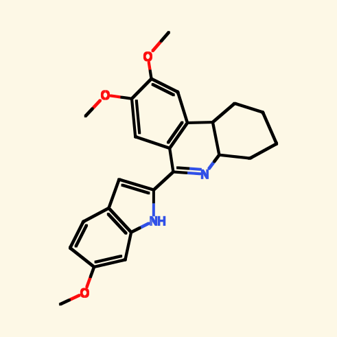 COc1ccc2cc(C3=NC4CCCCC4c4cc(OC)c(OC)cc43)[nH]c2c1